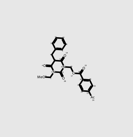 COCN1C(=O)C(Cc2ccccc2)C(=O)N(COC(=O)c2ccc(C(C)=O)cc2)C1=O